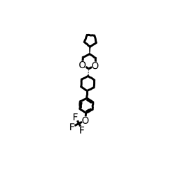 FC(F)(F)Oc1ccc(C2CCC([C@H]3OC[C@H](C4CCCC4)CO3)CC2)cc1